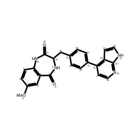 COc1ccc2c(c1)C(=O)NC(Cc1ccc(-c3ccnc4[nH]ccc34)cc1)C(=O)N2